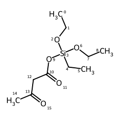 CCO[Si](CC)(OCC)OC(=O)CC(C)=O